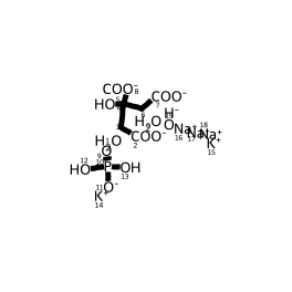 O.O.O=C([O-])CC(O)(CC(=O)[O-])C(=O)[O-].O=P([O-])(O)O.[K+].[K+].[Na+].[Na+].[Na+].[OH-]